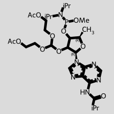 COP(OC1C(OC(OCCOC(C)=O)OCCOC(C)=O)[C@H](n2cnc3c(NC(=O)C(C)C)ncnc32)O[C@@H]1C)N(C(C)C)C(C)C